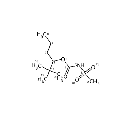 CCCC(OC(=O)NS(C)(=O)=O)C(C)(C)C